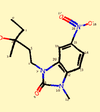 CCC(C)(O)CCn1c(=O)n(C)c2ccc([N+](=O)[O-])cc21